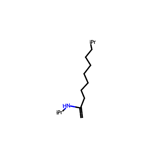 C=C(CCCCCCCC(C)C)NC(C)C